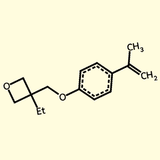 C=C(C)c1ccc(OCC2(CC)COC2)cc1